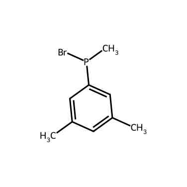 Cc1cc(C)cc(P(C)Br)c1